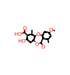 COc1cc(C)c2c(c1)Oc1c(cc(O)c(C(=O)O)c1C)OC2=O